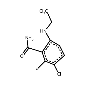 NC(=O)c1c(N[CH]C(Cl)(Cl)Cl)ccc(Cl)c1F